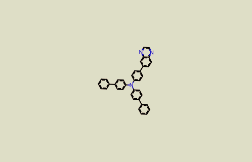 c1ccc(-c2ccc(N(c3ccc(-c4ccccc4)cc3)c3ccc(-c4ccc5nccnc5c4)cc3)cc2)cc1